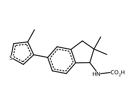 Cc1cscc1-c1ccc2c(c1)CC(C)(C)C2NC(=O)O